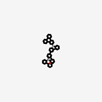 C1=CC(c2ccccc2-n2c3ccccc3c3cc(-c4ccc5c(c4)c4ccccc4n5-c4ccc5c6ccccc6c6ccccc6c5c4)ccc32)=CCC1